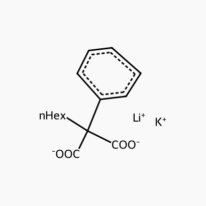 CCCCCCC(C(=O)[O-])(C(=O)[O-])c1ccccc1.[K+].[Li+]